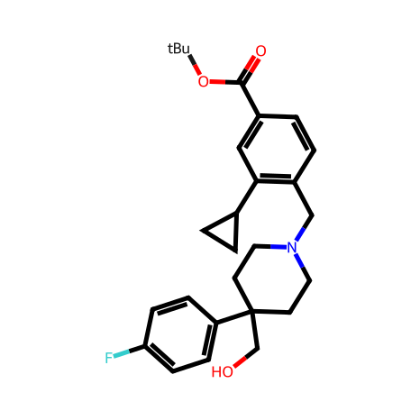 CC(C)(C)OC(=O)c1ccc(CN2CCC(CO)(c3ccc(F)cc3)CC2)c(C2CC2)c1